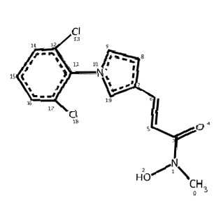 CN(O)C(=O)C=Cc1ccn(-c2c(Cl)cccc2Cl)c1